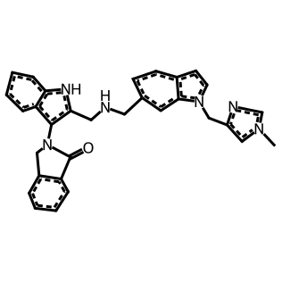 Cn1cnc(Cn2ccc3ccc(CNCc4[nH]c5ccccc5c4N4Cc5ccccc5C4=O)cc32)c1